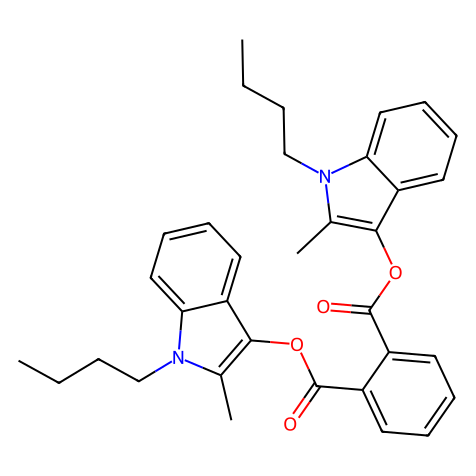 CCCCn1c(C)c(OC(=O)c2ccccc2C(=O)Oc2c(C)n(CCCC)c3ccccc23)c2ccccc21